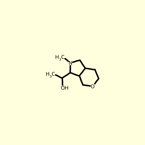 CC(O)C1C2COCCC2CN1C